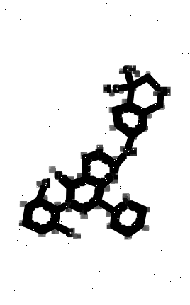 CC1(C)CNCc2cc(Nc3ncc4c(=O)n(-c5c(Cl)cccc5Cl)nc(-c5ccccn5)c4n3)ccc21